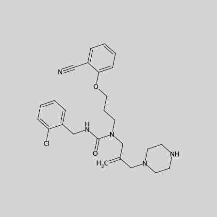 C=C(CN1CCNCC1)CN(CCCOc1ccccc1C#N)C(=O)NCc1ccccc1Cl